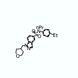 CCCN(c1ccc(CC)cc1)S(=O)(=O)c1ccc2c(cnn2CC2CCOCC2)c1